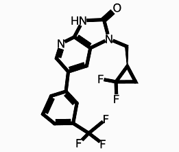 O=c1[nH]c2ncc(-c3cccc(C(F)(F)F)c3)cc2n1C[C@H]1CC1(F)F